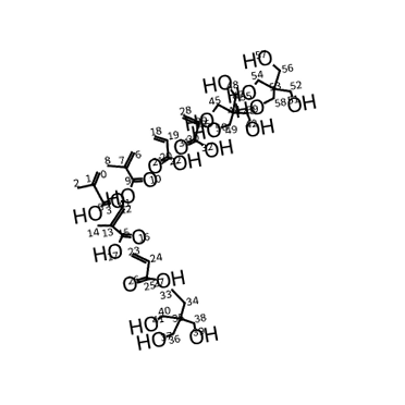 C=C(C)C(=O)O.C=C(C)C(=O)O.C=C(C)C(=O)O.C=CC(=O)O.C=CC(=O)O.C=CC(=O)O.CCC(CO)(CO)CO.OCC(CO)(CO)CO.OCC(CO)(CO)CO